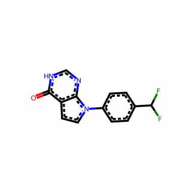 O=c1[nH]cnc2c1ccn2-c1ccc(C(F)F)cc1